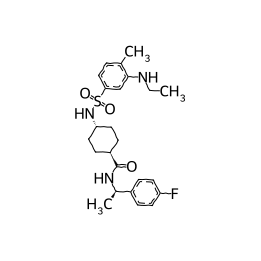 CCNc1cc(S(=O)(=O)N[C@H]2CC[C@H](C(=O)N[C@H](C)c3ccc(F)cc3)CC2)ccc1C